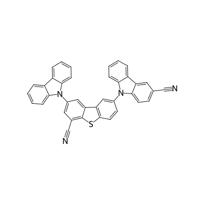 N#Cc1ccc2c(c1)c1ccccc1n2-c1ccc2sc3c(C#N)cc(-n4c5ccccc5c5ccccc54)cc3c2c1